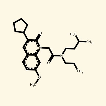 CCCN(CCC(C)C)C(=O)Cn1c(=O)c(C2CCCC2)cc2ccc(OC)cc21